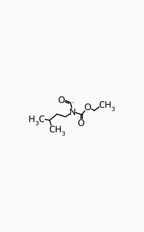 CCOC(=O)N([C]=O)CCC(C)C